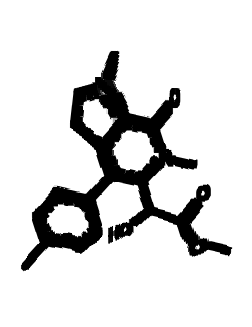 COC(=O)C(O)c1c(-c2ccc(C)cc2)c2ccn(C)c2c(=O)n1C